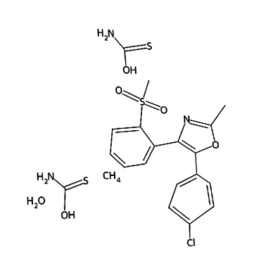 C.Cc1nc(-c2ccccc2S(C)(=O)=O)c(-c2ccc(Cl)cc2)o1.NC(O)=S.NC(O)=S.O